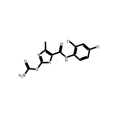 Cc1nc(OC(N)=O)sc1C(=O)Nc1ccc(Cl)cc1Cl